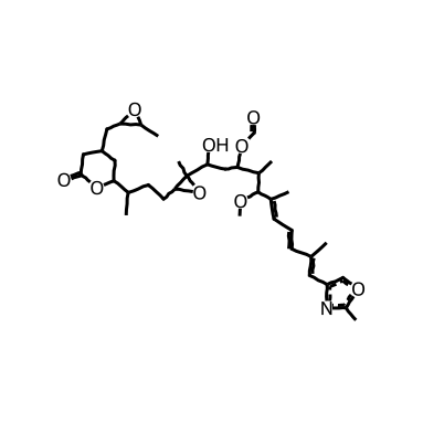 COC(/C(C)=C/C=C/C(C)=C/c1coc(C)n1)C(C)C(CC(O)C1(C)OC1CCC(C)C1CC(CC2OC2C)CC(=O)O1)OC=O